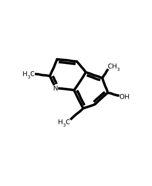 Cc1ccc2c(C)c(O)cc(C)c2n1